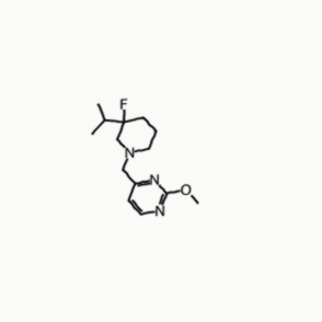 COc1nccc(CN2CCCC(F)(C(C)C)C2)n1